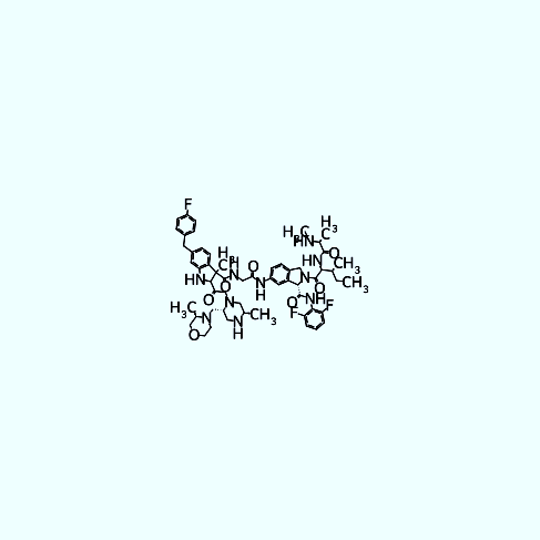 CC[C@H](C)[C@H](NC(=O)[C@H](C)NC)C(=O)N1Cc2ccc(NC(=O)CNC(=O)C3(C)c4ccc(Cc5ccc(F)cc5)cc4NC3C(=O)CN3C[C@@H](C)NC[C@@H]3CN3CCOC[C@H]3C)cc2[C@H]1C(=O)Nc1c(F)cccc1F